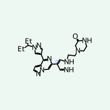 CCC(CC)n1cc(-c2nc(/C(C=N)=C/NCCN3CCNC(=O)C3)cn3nccc23)cn1